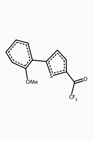 COc1ccccc1-c1ccc(C(=O)C(F)(F)F)s1